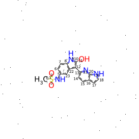 CS(=O)(=O)Nc1ccc2[nH]c(O)c(-c3ccc4cc[nH]c4n3)c2c1